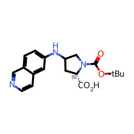 CC(C)(C)OC(=O)N1CC(Nc2ccc3cnccc3c2)C[C@H]1C(=O)O